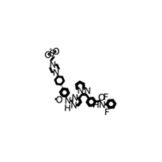 COc1cc([C@H]2CC[C@H](N3CCN(CCS(C)(=O)=O)CC3)CC2)ccc1Nc1nccc(-c2c(-c3cccc(C(=O)Nc4c(F)cccc4F)c3)nc3ccccn23)n1